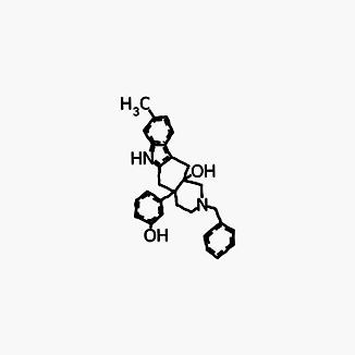 Cc1ccc2c3c([nH]c2c1)CC1(c2cccc(O)c2)CCN(Cc2ccccc2)CC1(O)C3